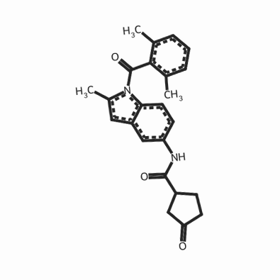 Cc1cccc(C)c1C(=O)n1c(C)cc2cc(NC(=O)C3CCC(=O)C3)ccc21